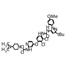 COc1ccc(-n2nc(C(C)(C)C)cc2NC(=O)Nc2ccc(Oc3ccnc(NC(=O)ON4CCC(N(C)C)CC4)c3)c(Cl)c2Cl)cc1